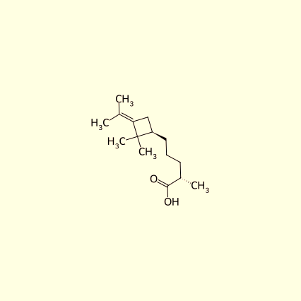 CC(C)=C1C[C@@H](CCC[C@H](C)C(=O)O)C1(C)C